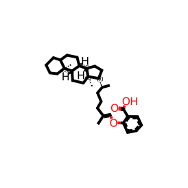 CC(=COc1ccccc1C(=O)O)CCCC(C)[C@H]1CC[C@H]2[C@@H]3CCC4CCCC[C@]4(C)[C@H]3CC[C@]12C